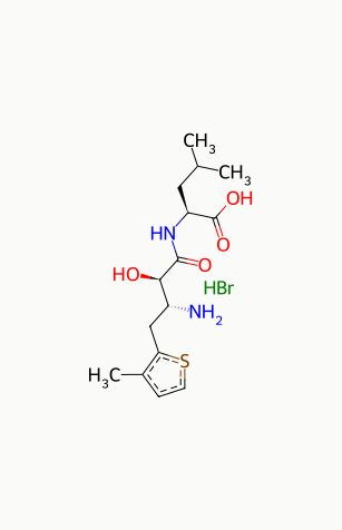 Br.Cc1ccsc1C[C@@H](N)[C@@H](O)C(=O)N[C@@H](CC(C)C)C(=O)O